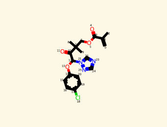 C=C(C)C(=O)OCC(C)(C)C(=O)C(Oc1ccc(Cl)cc1)n1cncn1